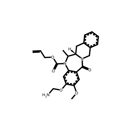 C=CCOC(=O)N1c2cc(OCN)c(OC)cc2C(=O)N2Cc3ccccc3C[C@H]2C1C